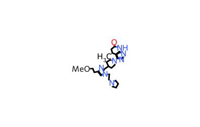 COCCc1cn(CCN2CCCC2)c(C2CCN(c3ncnc4c3[C@H](C)CC(=O)N4)CC2)n1